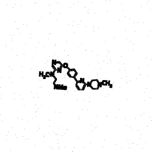 CNCCN(C)c1cncc(Oc2ccc(-c3cccc(N4CCN(C)CC4)n3)cc2)n1